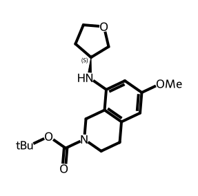 COc1cc2c(c(N[C@H]3CCOC3)c1)CN(C(=O)OC(C)(C)C)CC2